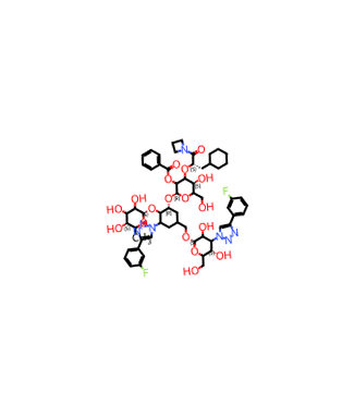 CC1O[C@@H](OC2C(n3cc(-c4cccc(F)c4)nn3)CC(CO[C@H]3OC(CO)[C@@H](O)C(n4cc(-c5cccc(F)c5)nn4)C3O)C[C@H]2O[C@@H]2OC(CO)[C@H](O)C(O[C@@H](CC3CCCCC3)C(=O)N3CCC3)C2OC(=O)c2ccccc2)C(O)C(O)[C@@H]1O